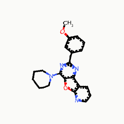 COc1cccc(-c2nc(N3CCCCC3)c3oc4ncccc4c3n2)c1